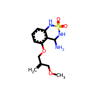 C=C(COC)COc1cccc2c1C(N)NS(=O)(=O)N2